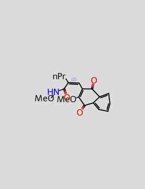 CCC/C(=C/C1=C(OC)C(=O)c2ccccc2C1=O)C(=O)NOC